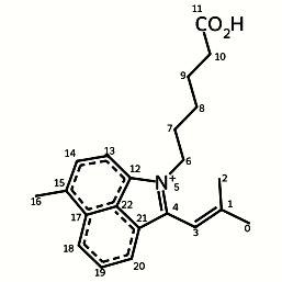 CC(C)=CC1=[N+](CCCCCC(=O)O)c2ccc(C)c3cccc1c23